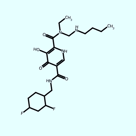 CCCCNCN(CC)C(=O)c1[nH]cc(C(=O)NCC2CCC(F)CC2F)c(=O)c1O